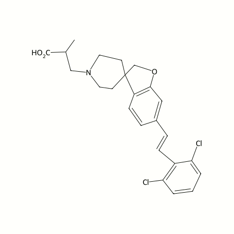 CC(CN1CCC2(CC1)COc1cc(C=Cc3c(Cl)cccc3Cl)ccc12)C(=O)O